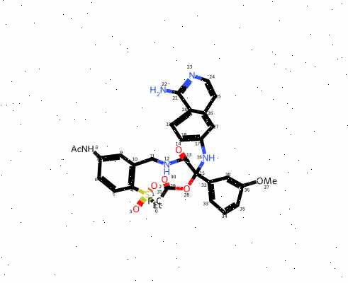 CCS(=O)(=O)c1ccc(NC(C)=O)cc1CNC(=O)C(Nc1ccc2c(N)nccc2c1)(OC(=O)C(F)(F)F)c1cccc(OC)c1